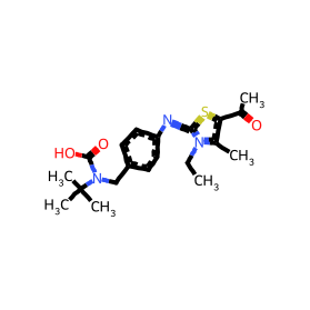 CCn1c(C)c(C(C)=O)s/c1=N/c1ccc(CN(C(=O)O)C(C)(C)C)cc1